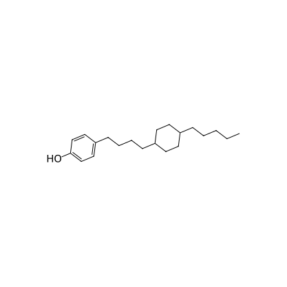 CCCCCC1CCC(CCCCc2ccc(O)cc2)CC1